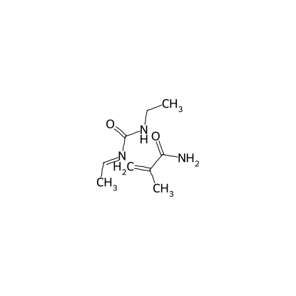 C=C(C)C(N)=O.CC=NC(=O)NCC